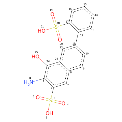 Nc1c(S(=O)(=O)O)cc2ccc(-c3ccccc3S(=O)(=O)O)cc2c1O